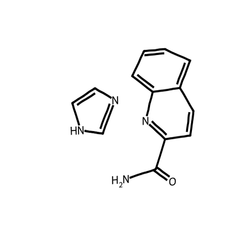 NC(=O)c1ccc2ccccc2n1.c1c[nH]cn1